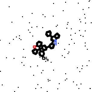 CC1C=CC(C2(c3ccc(-c4cccc(C5=C=C(c6ccccc6)c6ccccc6N5)c4)cc3)c3ccccc3Oc3ccccc32)=CC1